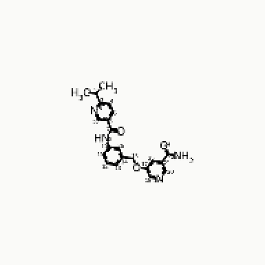 CC(C)c1ccc(C(=O)Nc2cccc(COc3cncc(C(N)=O)c3)c2)cn1